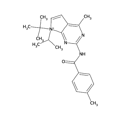 Cc1ccc(C(=O)Nc2nc(C)c3c(n2)[N+](C(C)C)(C(C)(C)C)C=C3)cc1